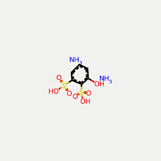 N.N.O=S(=O)(O)c1cccc(O)c1S(=O)(=O)O